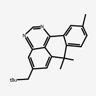 Cc1ccc2c(c1)-c1ncnc3cc(CC(C)(C)C)cc(c13)C2(C)C